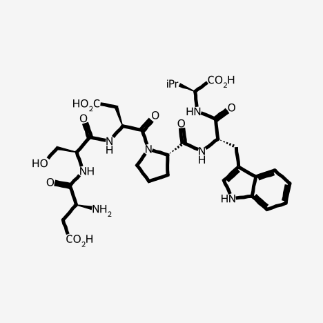 CC(C)[C@H](NC(=O)[C@H](Cc1c[nH]c2ccccc12)NC(=O)[C@@H]1CCCN1C(=O)[C@H](CC(=O)O)NC(=O)[C@H](CO)NC(=O)[C@@H](N)CC(=O)O)C(=O)O